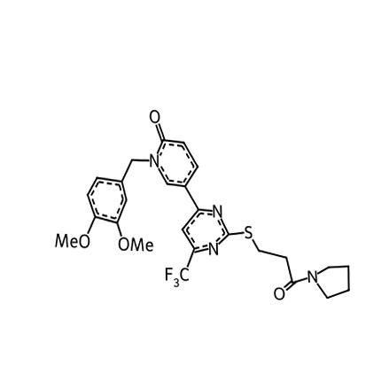 COc1ccc(Cn2cc(-c3cc(C(F)(F)F)nc(SCCC(=O)N4CCCC4)n3)ccc2=O)cc1OC